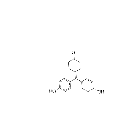 O=C1CCC(=C(C2=CCC(O)C=C2)c2ccc(O)cc2)CC1